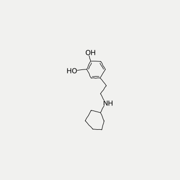 Oc1ccc(CCNC2CCCCC2)cc1O